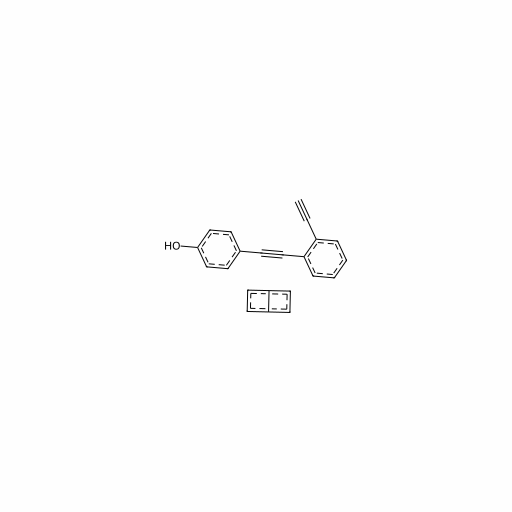 C#Cc1ccccc1C#Cc1ccc(O)cc1.c1cc2ccc1-2